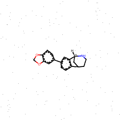 c1cc2c(cc1-c1ccc3c(c1)[C@H]1CC3CCN1)OCO2